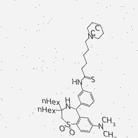 CCCCCCC1(CCCCCC)CS(=O)(=O)c2ccc(N(C)C)cc2C(c2cccc(NC(=S)CCCCC[N+]34CCC(CC3)CC4)c2)N1